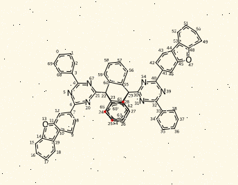 c1ccc(-c2nc(-c3ccc4c(c3)oc3ccccc34)nc(C34c5ccccc5C(c5nc(-c6ccccc6)nc(-c6ccc7c(c6)oc6ccccc67)n5)(c5ccccc53)c3ccccc34)n2)cc1